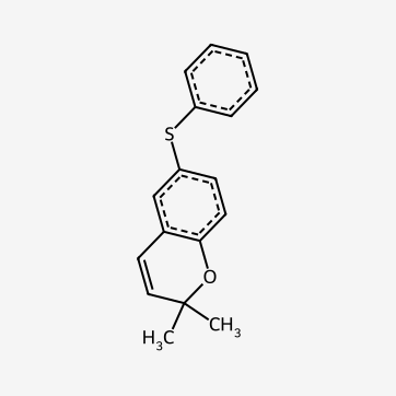 CC1(C)C=Cc2cc(Sc3ccccc3)ccc2O1